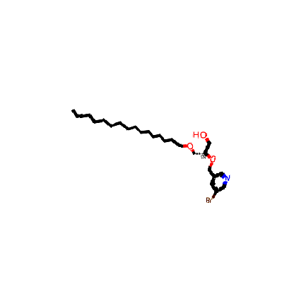 CCCCCCCCCCCCCCCCOC[C@H](CO)OCc1cncc(Br)c1